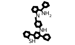 NC(c1ccccc1)c1ccccc1/N=C/c1ccc(Nc2cc(-c3ccccc3S)ccc2-c2ccccc2)cc1